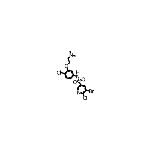 CN(C)CCOc1cc(NS(=O)(=O)c2cnc(Cl)c(Br)c2)ccc1Cl